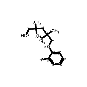 CC(C)(CO)CC(C)(C)COc1ccccc1F